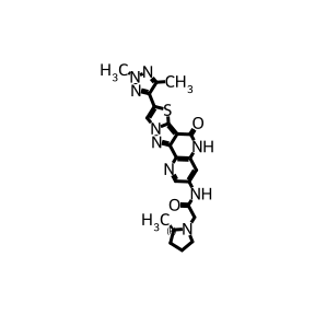 Cc1nn(C)nc1-c1cn2nc3c4ncc(NC(=O)CN5CCC[C@H]5C)cc4[nH]c(=O)c3c2s1